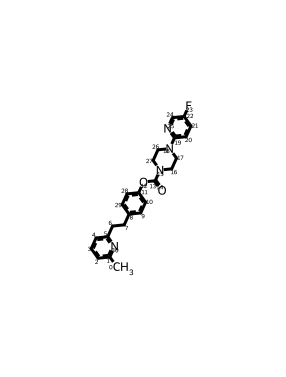 Cc1cccc(CCc2ccc(OC(=O)N3CCN(c4ccc(F)cn4)CC3)cc2)n1